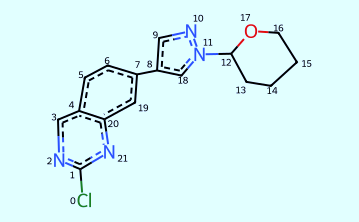 Clc1ncc2ccc(-c3cnn(C4CCCCO4)c3)cc2n1